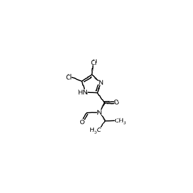 CC(C)N(C=O)C(=O)c1nc(Cl)c(Cl)[nH]1